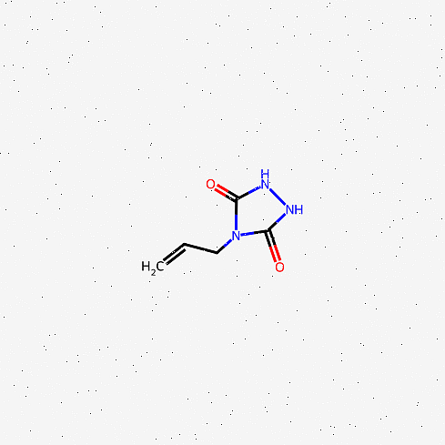 C=CCn1c(=O)[nH][nH]c1=O